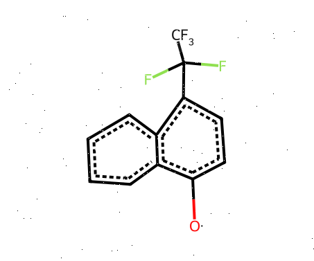 [O]c1ccc(C(F)(F)C(F)(F)F)c2ccccc12